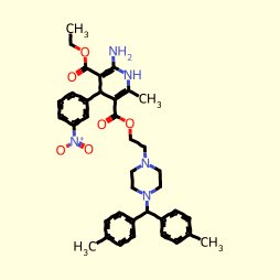 CCOC(=O)C1=C(N)NC(C)=C(C(=O)OCCN2CCN(C(c3ccc(C)cc3)c3ccc(C)cc3)CC2)C1c1cccc([N+](=O)[O-])c1